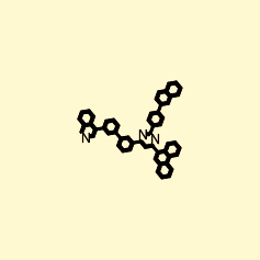 c1cc(-c2cccc(-c3cncc4ccccc34)c2)cc(-c2cc(-c3cc4ccccc4c4ccccc34)nc(-c3ccc(-c4ccc5ccccc5c4)cc3)n2)c1